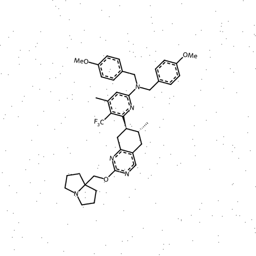 COc1ccc(CN(Cc2ccc(OC)cc2)c2cc(C)c(C(F)(F)F)c([C@@H]3Cc4nc(OCC56CCCN5CCC6)ncc4C[C@H]3C)n2)cc1